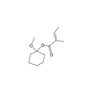 CC=C(C)C(=O)OC1(OC)CCCCC1